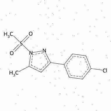 Cc1cc(-c2ccc(Cl)cc2)nn1S(C)(=O)=O